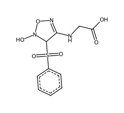 O=C(O)CNC1=NON(O)C1S(=O)(=O)c1ccccc1